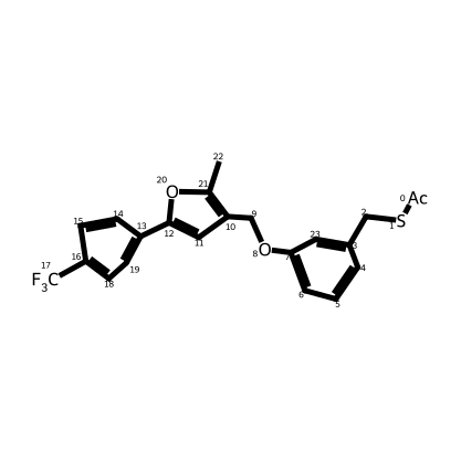 CC(=O)SCc1cccc(OCc2cc(-c3ccc(C(F)(F)F)cc3)oc2C)c1